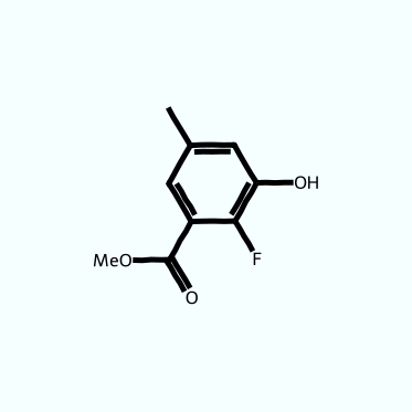 COC(=O)c1cc(C)cc(O)c1F